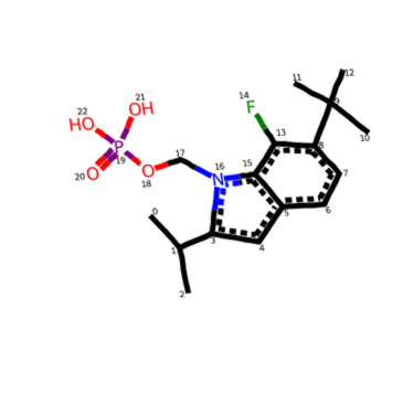 CC(C)c1cc2ccc(C(C)(C)C)c(F)c2n1COP(=O)(O)O